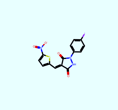 O=C1NN(c2ccc(I)cc2)C(=O)C1=Cc1ccc([N+](=O)[O-])s1